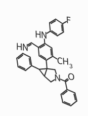 Cc1cc(Nc2ccc(F)cc2)c(C=N)cc1C12CN(C(=O)c3ccccc3)CC1C2c1ccccc1